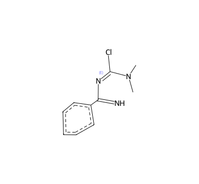 CN(C)/C(Cl)=N\C(=N)c1ccccc1